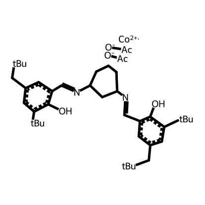 CC(=O)[O-].CC(=O)[O-].CC(C)(C)Cc1cc(C=NC2CCCC(N=Cc3cc(CC(C)(C)C)cc(C(C)(C)C)c3O)C2)c(O)c(C(C)(C)C)c1.[Co+2]